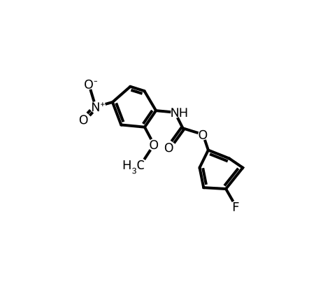 COc1cc([N+](=O)[O-])ccc1NC(=O)Oc1ccc(F)cc1